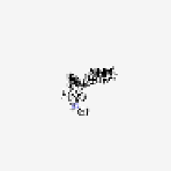 O=C(NC/C=C\CCl)c1ccc(F)c(NCc2cnc(Nc3ccccn3)s2)c1